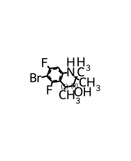 C[C@H]1c2c(cc(F)c(Br)c2F)NC(C)(C)[C@@H]1O